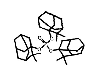 CC1(C)C2CC3CC(C2)CC1(OP(=O)(OC12CC4CC(CC(C4)C1(C)C)C2)OC12CC4CC(CC(C4)C1(C)C)C2)C3